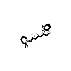 NC(CCCN1CCCCC1=O)CC1COc2cccnc2O1